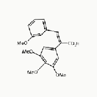 COc1cccc(C=C(C(=O)O)c2cc(OC)c(OC)c(OC)c2)c1